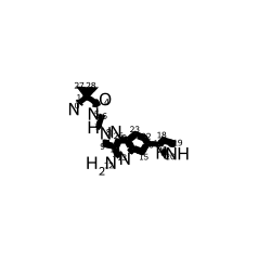 N#CC1(C(=O)NCCn2cc3c(N)nc4cc(-c5cc[nH]n5)ccc4c3n2)CC1